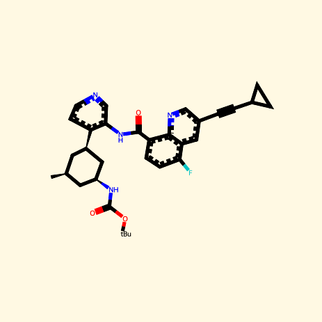 C[C@@H]1C[C@H](NC(=O)OC(C)(C)C)C[C@H](c2ccncc2NC(=O)c2ccc(F)c3cc(C#CC4CC4)cnc23)C1